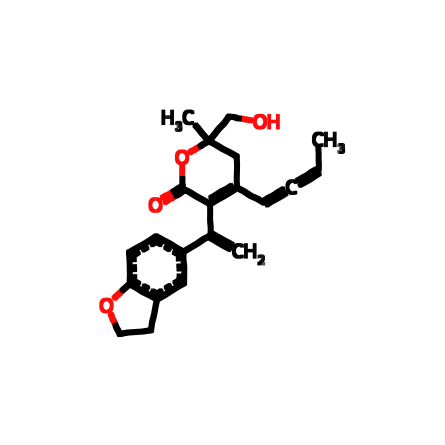 C=C(C1=C(C=C=CC)CC(C)(CO)OC1=O)c1ccc2c(c1)CCO2